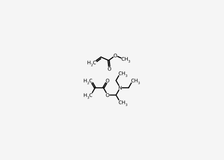 C=C(C)C(=O)OC(C)N(CC)CC.C=CC(=O)OC